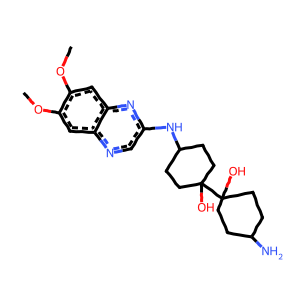 COc1cc2ncc(NC3CCC(O)(C4(O)CCC(N)CC4)CC3)nc2cc1OC